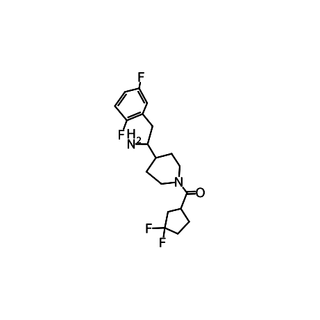 NC(Cc1cc(F)ccc1F)C1CCN(C(=O)C2CCC(F)(F)C2)CC1